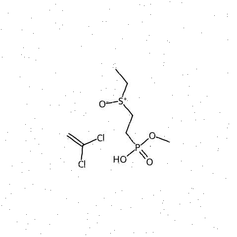 C=C(Cl)Cl.CC[S+]([O-])CCP(=O)(O)OC